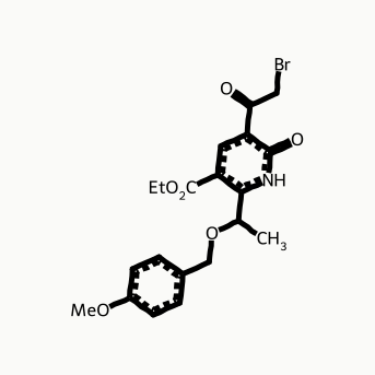 CCOC(=O)c1cc(C(=O)CBr)c(=O)[nH]c1C(C)OCc1ccc(OC)cc1